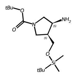 CC(C)(C)OC(=O)N1C[C@H](CO[Si](C)(C)C(C)(C)C)[C@H](N)C1